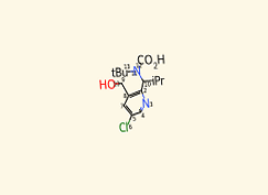 CC(C)C(c1ncc(Cl)cc1CO)N(C(=O)O)C(C)(C)C